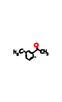 CC(=O)c1[c]ccc(C)c1